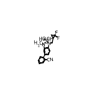 CN1c2cc(-c3ccccc3C#N)ccc2N(CC2CC2(F)F)S1(O)O